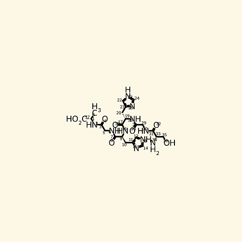 C[C@H](NC(=O)CNC(=O)[C@H](Cc1c[nH]cn1)NC(=O)[C@H](Cc1c[nH]cn1)NC(=O)CNC(=O)[C@@H](N)CO)C(=O)O